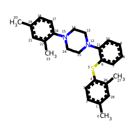 Cc1ccc(Sc2ccccc2N2CCN(c3ccc(C)cc3C)CC2)c(C)c1